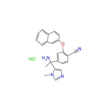 Cl.Cn1cncc1C(C)(N)c1ccc(C#N)c(Oc2ccc3ccccc3c2)c1